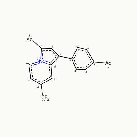 CC(=O)c1ccc(-c2cc(C(C)=O)n3ccc(C(F)(F)F)cc23)cc1